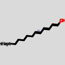 CCCCCCCCCCCC/C=C/C=CC=CO